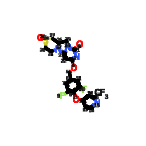 O=c1nc(OCc2cc(F)c(Oc3ccnc(C(F)(F)F)c3)c(F)c2)cc2n1CC1C[S+]([O-])CCN21